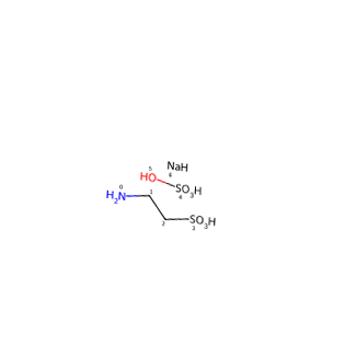 NCCS(=O)(=O)O.O=S(=O)(O)O.[NaH]